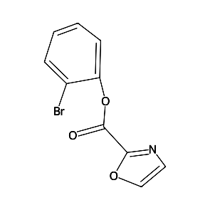 O=C(Oc1ccccc1Br)c1ncco1